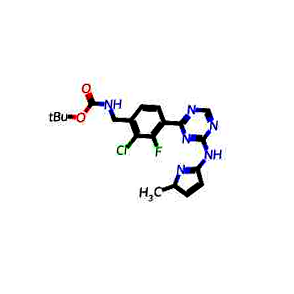 CC1C=CC(Nc2ncnc(-c3ccc(CNC(=O)OC(C)(C)C)c(Cl)c3F)n2)=N1